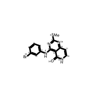 CSc1nc(Nc2cccc(Br)c2)c2c(=O)[nH]ccc2n1